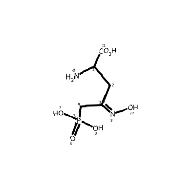 NC(C/C(CP(=O)(O)O)=N\O)C(=O)O